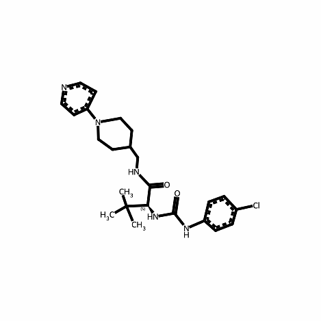 CC(C)(C)[C@H](NC(=O)Nc1ccc(Cl)cc1)C(=O)NCC1CCN(c2ccncc2)CC1